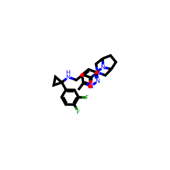 Cc1ccc(N2C3CCC2CN(C(=O)CCNC2(c4ccc(F)c(F)c4)CC2)C3)nn1